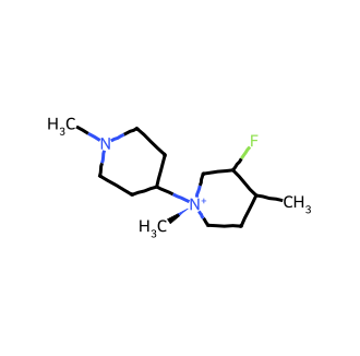 CC1CC[N@+](C)(C2CCN(C)CC2)CC1F